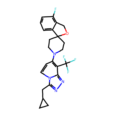 Fc1cccc2c1COC21CCN(c2ccn3c(CC4CC4)nnc3c2C(F)(F)F)CC1